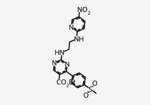 CCOC(=O)c1cnc(NCCNc2ccc([N+](=O)[O-])cn2)nc1-c1ccc(S(C)(=O)=O)cc1